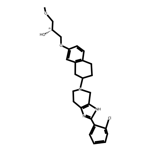 COC[C@@H](O)COc1ccc2c(c1)CC(N1CCc3nc(-c4ccccc4Cl)[nH]c3C1)CC2